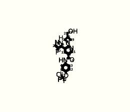 O=C(Nc1ccc(OC(F)(F)Cl)cc1)c1cnc(N2CC(CO)C2)c(-c2[nH]ncc2F)c1